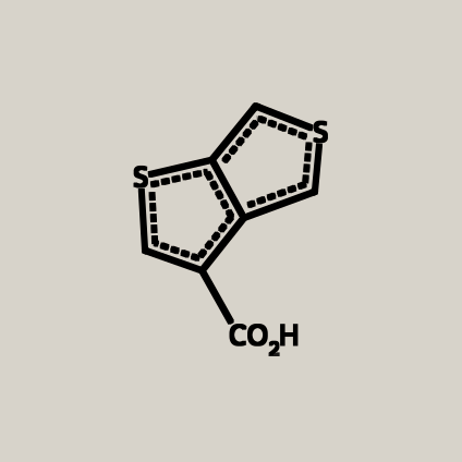 O=C(O)c1csc2cscc12